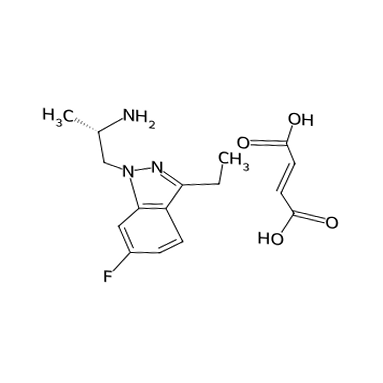 CCc1nn(C[C@H](C)N)c2cc(F)ccc12.O=C(O)/C=C/C(=O)O